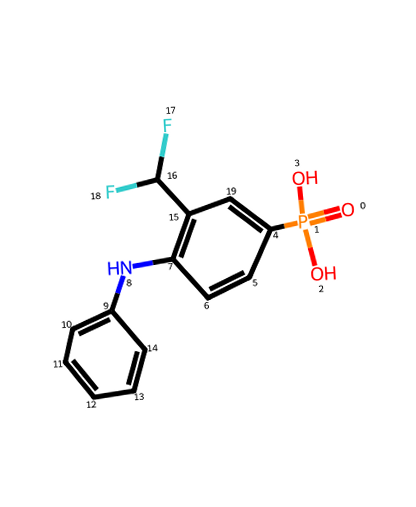 O=P(O)(O)c1ccc(Nc2ccccc2)c(C(F)F)c1